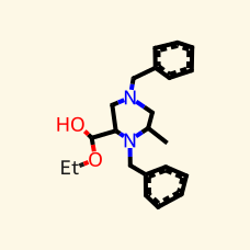 CCOC(O)C1CN(Cc2ccccc2)CC(C)N1Cc1ccccc1